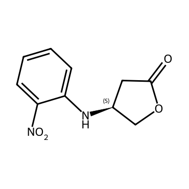 O=C1C[C@H](Nc2ccccc2[N+](=O)[O-])CO1